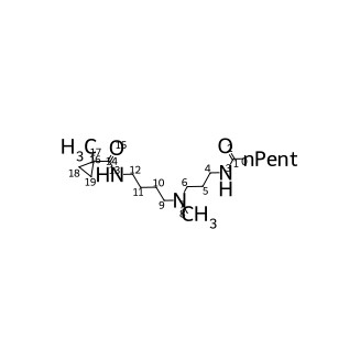 CCCCCC(=O)NCCCN(C)CCCCNC(=O)C1(C)CC1